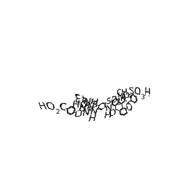 CCNc1nc(Nc2cc(Nc3ccc4c5c3C(=O)c3ccccc3-c5c(C(=O)c3cccc(S(=O)(=O)O)c3)c(=O)n4C)c(S(=O)(=O)O)cc2S(=O)(=O)O)nc(Oc2ccc(C(=O)O)cc2)n1